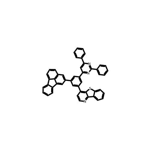 c1ccc(-c2cc(-c3cc(-c4cc5c6c(cccc6c4)-c4ccccc4-5)cc(-c4ccnc5c4sc4ccccc45)c3)nc(-c3ccccc3)n2)cc1